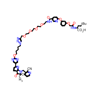 CC(C)(C)CC[C@H](NC(=O)COc1cccc(Oc2ccc(C(=O)NCCOCCOCCOCCOCc3cn(CCCCCOc4ncc(-c5ccc6c(n5)N(Cc5cccnc5C#N)C(C)(C)C6=O)cn4)nn3)cn2)c1)C(=O)O